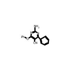 CC(C)Oc1nc(N)nc(-c2ccccc2)c1C#N